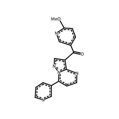 COc1ccc(C(=O)c2cnn3c(-c4cccnc4)ccnc23)cn1